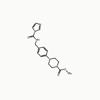 CC(C)(C)OC(=O)N1CCN(c2ccc(CNC(=O)n3ccnc3)cc2)CC1